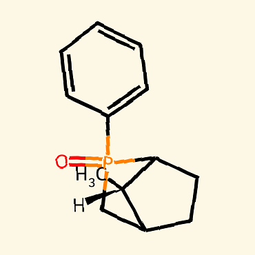 C[C@H]1C2CCC1P(=O)(c1ccccc1)C2